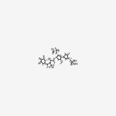 COc1cc(/C=C2\CC[C@H]3CC[C@@H](c4cc(F)c(F)c(F)c4)N3C2=O)ccc1-n1cc(C)[n+](COP(=O)(O)O)c1.O=C([O-])C(F)(F)F